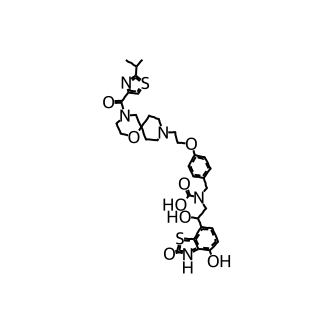 CC(C)c1nc(C(=O)N2CCOC3(CCN(CCOc4ccc(CN(CC(O)c5ccc(O)c6[nH]c(=O)sc56)C(=O)O)cc4)CC3)C2)cs1